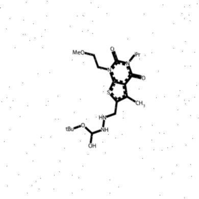 COCCn1c(=O)n(C(C)C)c(=O)c2c(C)c(CNNC(O)OC(C)(C)C)sc21